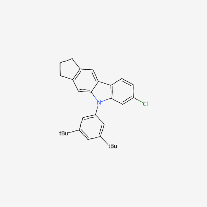 CC(C)(C)c1cc(-n2c3cc(Cl)ccc3c3cc4c(cc32)CCC4)cc(C(C)(C)C)c1